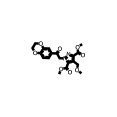 COCc1c(C(=O)OC)nn(CC(=O)c2ccc3c(c2)OCCO3)c1C(=O)OC